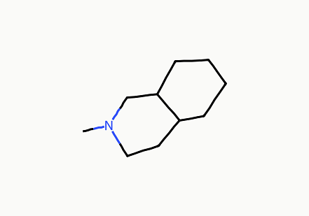 CN1CCC2CCCCC2C1